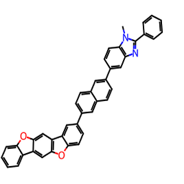 Cn1c(-c2ccccc2)nc2cc(-c3ccc4cc(-c5ccc6oc7cc8c(cc7c6c5)oc5ccccc58)ccc4c3)ccc21